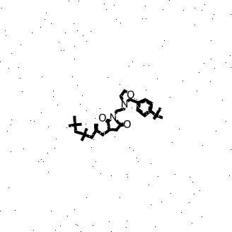 C=C(CC1CC(=O)N(CCN2CCOC2c2ccc(C(C)(C)C)cc2)C1=O)CC(C)(C)CC(C)(C)C